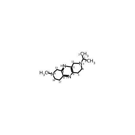 CC(C)N1CCc2nc3c(nc2C1)CN(C)CC3